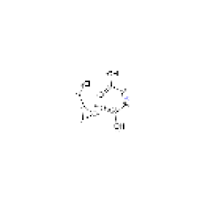 ClCC1CO1.O=C(O)/C=C\C(=O)O